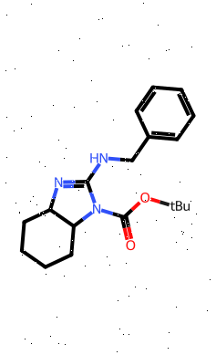 CC(C)(C)OC(=O)N1C(NCc2ccccc2)=NC2CCCCC21